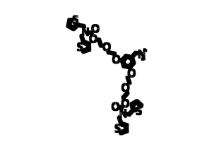 CN(C)Cc1cc(OCCOCCOC(=O)N(Cc2cccs2)Cc2cccs2)cc(OCCOCCOC(=O)N(Cc2cccs2)Cc2cccs2)c1